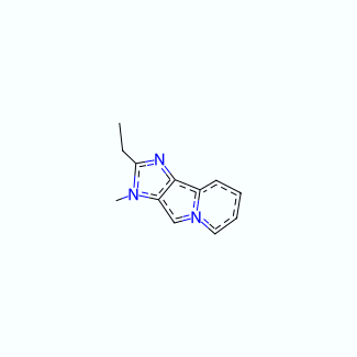 CCc1nc2c(cn3ccccc23)n1C